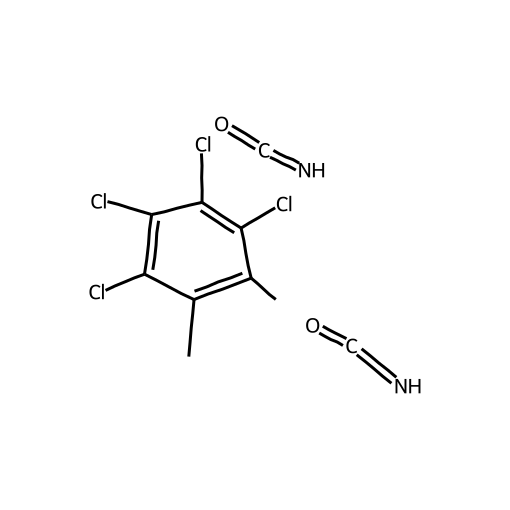 Cc1c(C)c(Cl)c(Cl)c(Cl)c1Cl.N=C=O.N=C=O